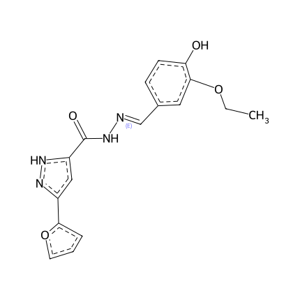 CCOc1cc(/C=N/NC(=O)c2cc(-c3ccco3)n[nH]2)ccc1O